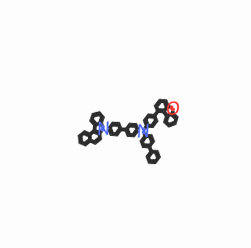 c1ccc(-c2ccc(N(c3ccc(-c4ccc(-n5c6ccccc6c6c7ccccc7ccc65)cc4)cc3)c3ccc(-c4cccc5oc6ccccc6c45)cc3)cc2)cc1